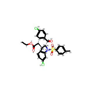 CCOC(=O)C[C@@H]1c2ccc(Cl)cc2N(S(=O)(=O)c2ccc(C)cc2)[C@H]1C(=O)c1ccc(Cl)cc1